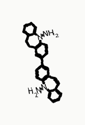 NN1c2ccccc2C=Cc2cc(-c3ccc4c(c3)CCc3ccccc3N4N)ccc21